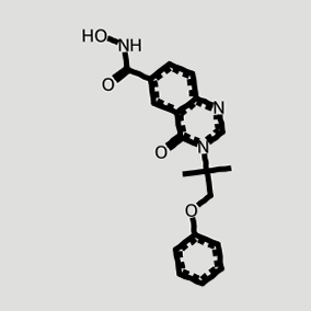 CC(C)(COc1ccccc1)n1cnc2ccc(C(=O)NO)cc2c1=O